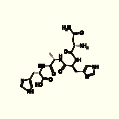 C[C@H](NC(=O)[C@H](Cc1c[nH]cn1)NC(=O)[C@@H](N)CC(N)=O)C(=O)N[C@@H](Cc1c[nH]cn1)C(=O)O